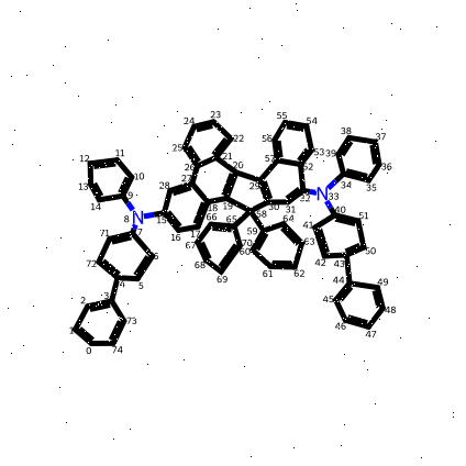 c1ccc(-c2ccc(N(c3ccccc3)c3ccc4c5c(c6ccccc6c4c3)-c3c(cc(N(c4ccccc4)c4ccc(-c6ccccc6)cc4)c4ccccc34)C5(c3ccccc3)c3ccccc3)cc2)cc1